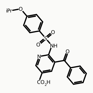 CC(C)Oc1ccc(S(=O)(=O)Nc2ncc(C(=O)O)cc2C(=O)c2ccccc2)cc1